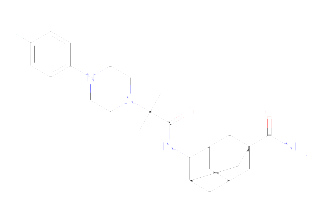 CC(C)(C(=O)NC1C2CC3CC1CC(C(N)=O)(C3)C2)N1CCN(c2ccc(F)cc2)CC1